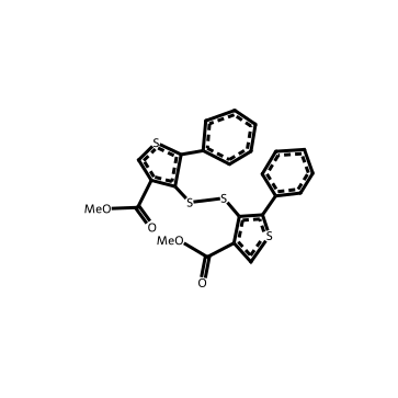 COC(=O)c1csc(-c2ccccc2)c1SSc1c(C(=O)OC)csc1-c1ccccc1